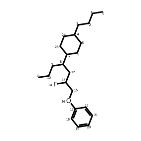 CCCCC1CCC(C(CCC)CC(F)COc2ccccc2)CC1